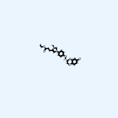 CCOC(=O)CCC1=CN(c2ccc(OC[C@H]3COc4ccc(Cl)cc4O3)cc2)CN1C